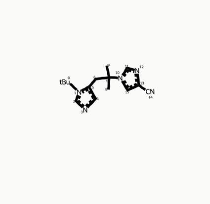 CC(C)(C)n1cncc1CC(C)(C)n1cnc(C#N)c1